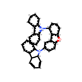 C1=CC2c3ccccc3N(c3ccc4oc5cccc(-n6c7ccccc7c7ccccc76)c5c4c3)C2C=C1